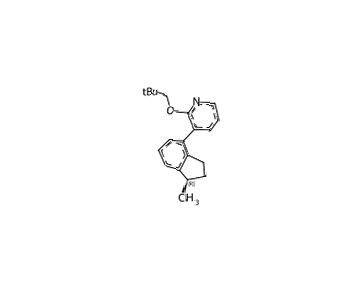 C[C@@H]1CCc2c(-c3cccnc3OCC(C)(C)C)cccc21